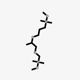 CO[Si](C)(C)CCCOC(C)COC[Si](C)(C)OC